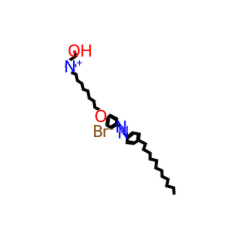 CCCCCCCCCCCCc1ccc(/N=N/c2ccc(OCCCCCCCCCC[N+](C)(C)CCO)cc2)cc1.[Br-]